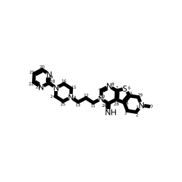 CN1CCc2c(sc3ncn(CCCN4CCN(c5ncccn5)CC4)c(=N)c23)C1